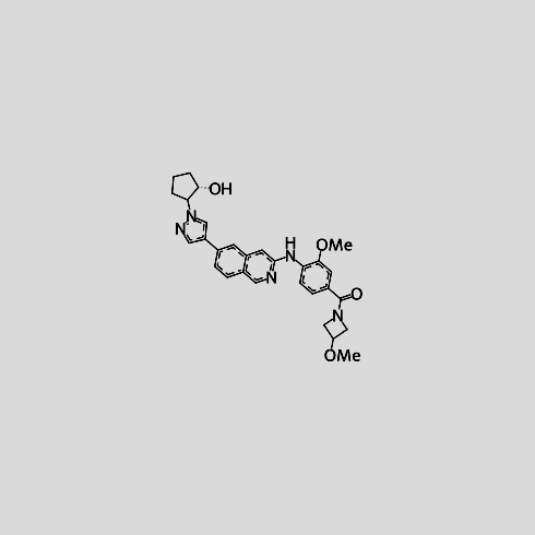 COc1cc(C(=O)N2CC(OC)C2)ccc1Nc1cc2cc(-c3cnn(C4CCC[C@@H]4O)c3)ccc2cn1